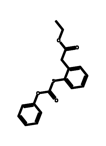 CCOC(=O)Cc1ccccc1SC(=O)Oc1ccccc1